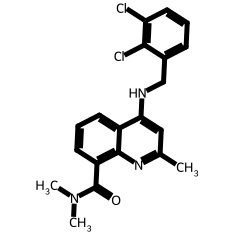 Cc1cc(NCc2cccc(Cl)c2Cl)c2cccc(C(=O)N(C)C)c2n1